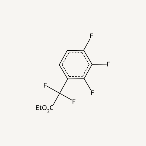 CCOC(=O)C(F)(F)c1ccc(F)c(F)c1F